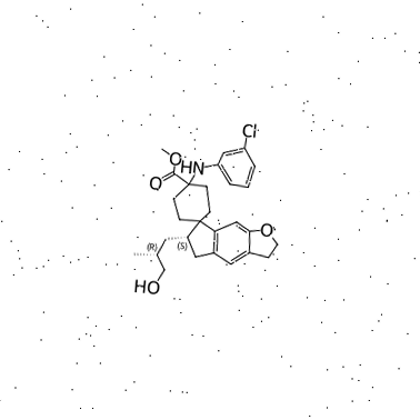 COC(=O)C1(Nc2cccc(Cl)c2)CCC2(CC1)c1cc3c(cc1C[C@@H]2C[C@@H](C)CO)CCO3